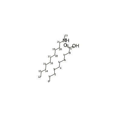 CCCCCCCCCC(=O)O.CCCCCCCCCCNC